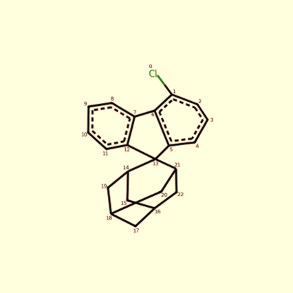 Clc1cccc2c1-c1ccccc1C21C2CC3CC(C2)CC1C3